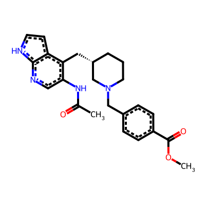 COC(=O)c1ccc(CN2CCC[C@@H](Cc3c(NC(C)=O)cnc4[nH]ccc34)C2)cc1